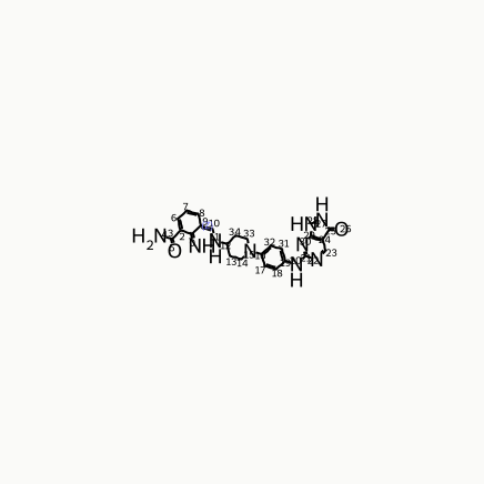 N=C1C(C(N)=O)=CC=C/C1=C/NC1CCN(c2ccc(Nc3ncc4c(=O)[nH][nH]c4n3)cc2)CC1